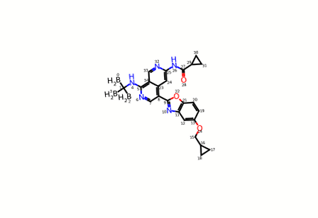 BC(B)(B)Nc1ncc(-c2nc3cc(OCC4CC4)ccc3o2)c2cc(NC(=O)C3CC3)ncc12